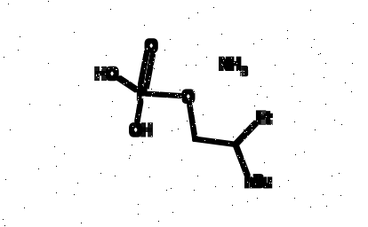 CCCCC(CC)COP(=O)(O)O.N